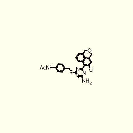 CC(=O)Nc1ccc(CSc2nc(N)nc(-c3c(Cl)cc4c5c(cccc35)COC4)n2)cc1